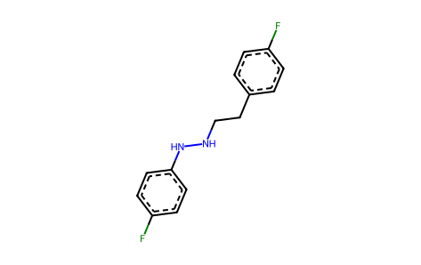 Fc1ccc(CCNNc2ccc(F)cc2)cc1